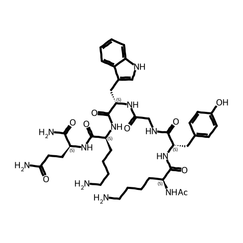 CC(=O)N[C@@H](CCCCN)C(=O)N[C@@H](Cc1ccc(O)cc1)C(=O)NCC(=O)N[C@@H](Cc1c[nH]c2ccccc12)C(=O)N[C@@H](CCCCN)C(=O)N[C@@H](CCC(N)=O)C(N)=O